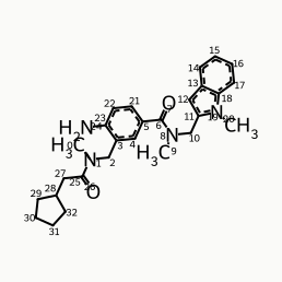 CN(Cc1cc(C(=O)N(C)Cc2cc3ccccc3n2C)ccc1N)C(=O)CC1CCCC1